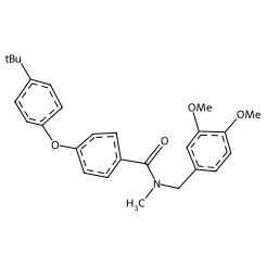 COc1ccc(CN(C)C(=O)c2ccc(Oc3ccc(C(C)(C)C)cc3)cc2)cc1OC